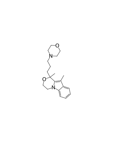 Cc1c2n(c3ccccc13)CCOC2(C)CCCN1CCOCC1